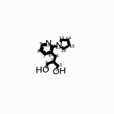 OCC(CO)Cc1cccnc1N1CCCC1